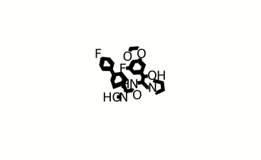 O=C(NC(CN1CCCC1)C(O)c1cc(F)c2c(c1)OCCO2)/C(=N/O)c1ccc(-c2ccc(F)cc2)cc1